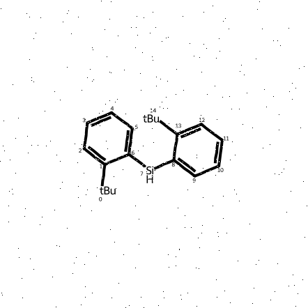 CC(C)(C)c1ccccc1[SiH]c1ccccc1C(C)(C)C